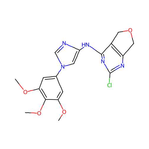 COc1cc(-n2cnc(Nc3nc(Cl)nc4c3COC4)c2)cc(OC)c1OC